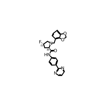 O=C(Nc1ccc(-c2ncccn2)cc1)[C@H]1C[C@H](F)CN1Cc1cccc2c1OCO2